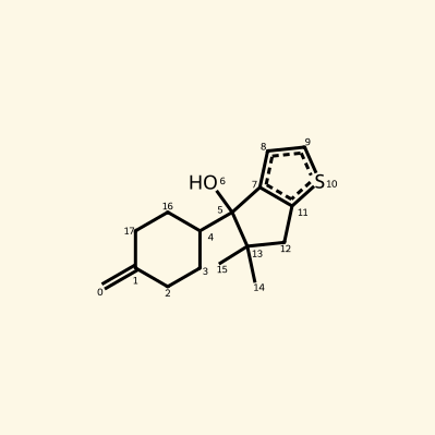 C=C1CCC(C2(O)c3ccsc3CC2(C)C)CC1